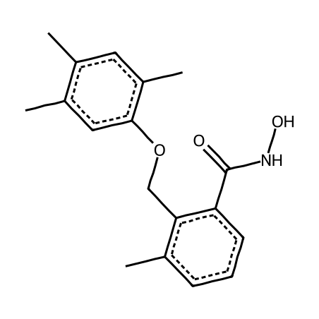 Cc1cc(C)c(OCc2c(C)cccc2C(=O)NO)cc1C